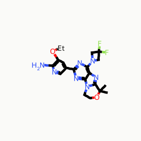 CCOc1cc(-c2nc(N3CC(F)(F)C3)c3nc4n(c3n2)CCOC4(C)C)cnc1N